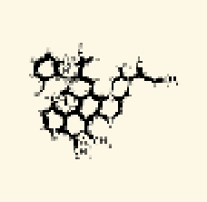 C=CC(=O)N1CC2COc3c(CC)c(-c4c(C)ccnc4C(C)C)c4c(=O)n(-c5c(O)cccc5F)c(C(F)(F)F)cc4c3N2CC1C